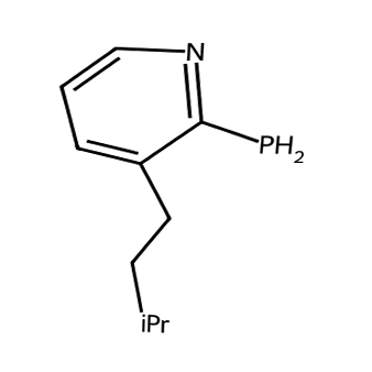 CC(C)CCc1cccnc1P